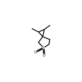 CC1C(C)C12CCS(=O)(=O)C2